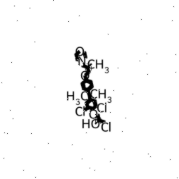 C[C@@H](COc1ccc(C(C)(C)c2cc(Cl)c(OC[C@H](O)CCl)c(Cl)c2)cc1)CN1CCOCC1